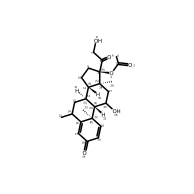 CC(=O)O[C@]1(C(=O)CO)CC[C@H]2[C@@H]3CC(C)C4=CC(=O)C=C[C@]4(C)[C@H]3C(O)C[C@@]21C